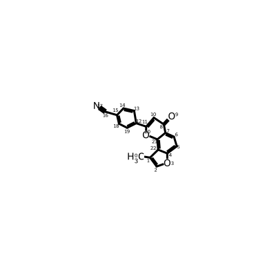 Cc1coc2ccc3c(=O)cc(-c4ccc(C#N)cc4)oc3c12